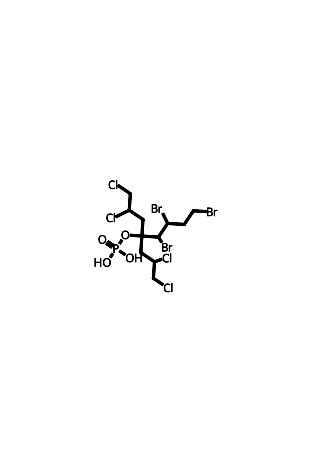 O=P(O)(O)OC(CC(Cl)CCl)(CC(Cl)CCl)C(Br)C(Br)CCBr